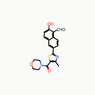 Cc1nc(-c2ccc3c(C=O)c(O)ccc3c2)sc1C(=O)N1CCOCC1